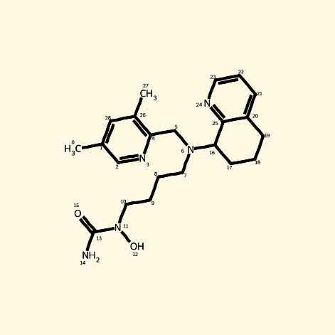 Cc1cnc(CN(CCCCN(O)C(N)=O)C2CCCc3cccnc32)c(C)c1